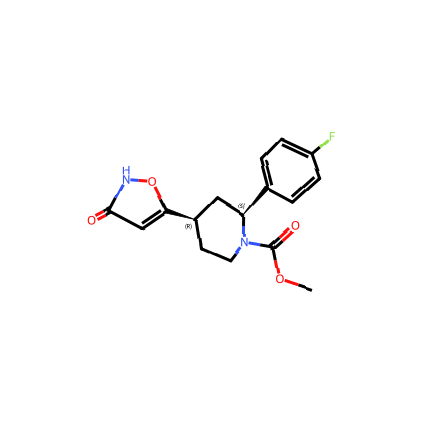 COC(=O)N1CC[C@@H](c2cc(=O)[nH]o2)C[C@H]1c1ccc(F)cc1